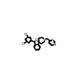 Clc1cc(Cl)cc(C2OC3(CCN(Cc4ccncn4)CC3)c3ccccc32)c1